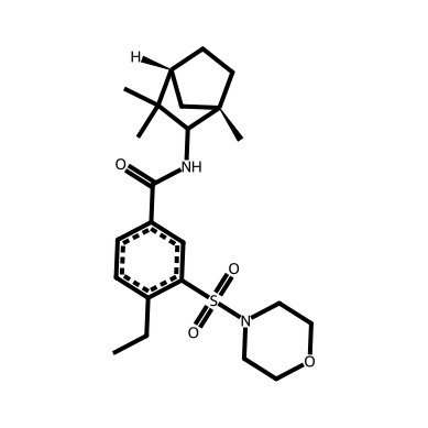 CCc1ccc(C(=O)NC2C(C)(C)[C@@H]3CC[C@@]2(C)C3)cc1S(=O)(=O)N1CCOCC1